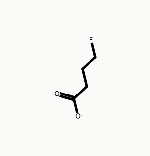 [O]C(=O)CCCF